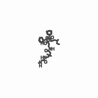 CCC(C)CCN(C(O)(CCNC(=O)CC(C)(C)CNC(=O)CNC)Cc1ccccc1)S(=O)(=O)c1ccccc1